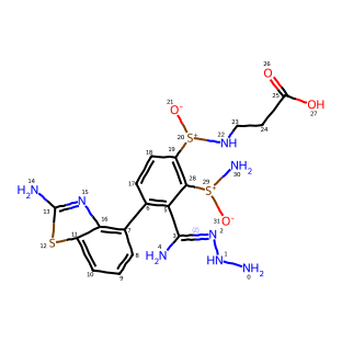 NN/N=C(\N)c1c(-c2cccc3sc(N)nc23)ccc([S+]([O-])NCCC(=O)O)c1[S+](N)[O-]